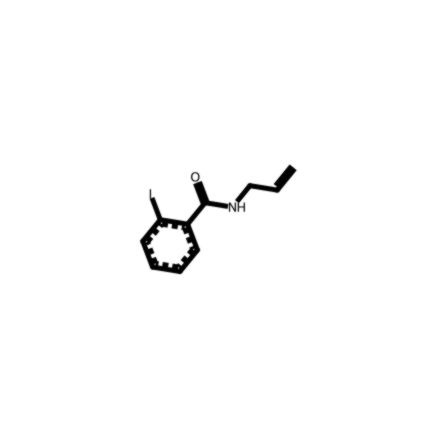 C=CCNC(=O)c1ccccc1I